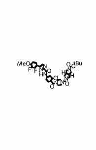 COc1ccc(-c2cnc(C(=O)Nc3ccc(C(=O)N4CCN(C(=O)N5C[C@H]6CN(C(=O)OC(C)(C)C)C[C@H]6C5)CC4)c(Cl)c3)n2C)c(F)c1F